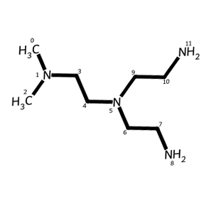 CN(C)CCN(CCN)CCN